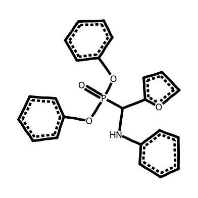 O=P(Oc1ccccc1)(Oc1ccccc1)C(Nc1ccccc1)c1ccco1